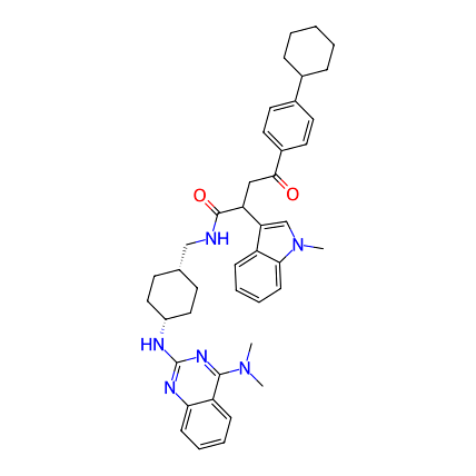 CN(C)c1nc(N[C@H]2CC[C@@H](CNC(=O)C(CC(=O)c3ccc(C4CCCCC4)cc3)c3cn(C)c4ccccc34)CC2)nc2ccccc12